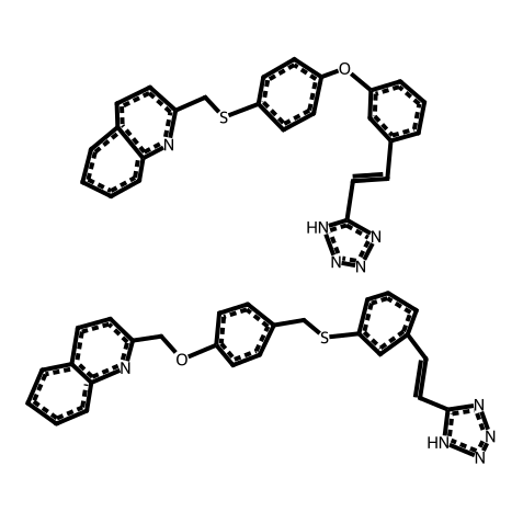 C(=Cc1nnn[nH]1)c1cccc(Oc2ccc(SCc3ccc4ccccc4n3)cc2)c1.C(=Cc1nnn[nH]1)c1cccc(SCc2ccc(OCc3ccc4ccccc4n3)cc2)c1